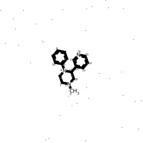 CN1CCN(c2ccccc2)C(c2cccnc2)C1